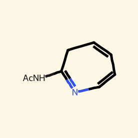 CC(=O)NC1=NC=CC=CC1